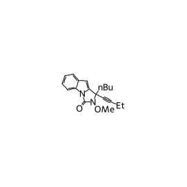 CCC#CC1(CCCC)c2cc3ccccc3n2C(=O)N1OC